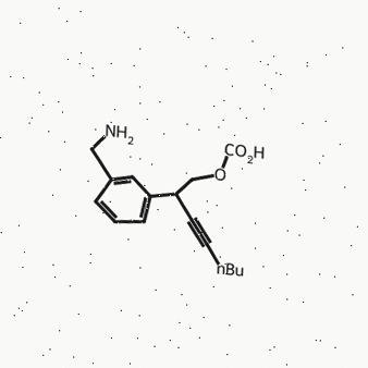 CCCCC#CC(COC(=O)O)c1cccc(CN)c1